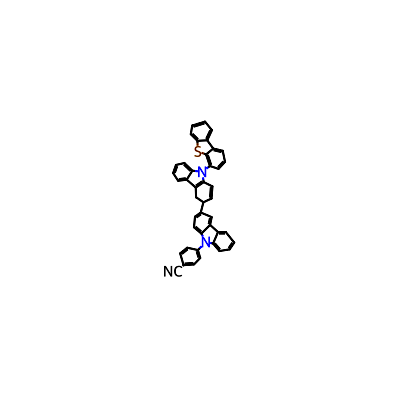 N#Cc1ccc(-n2c3ccccc3c3cc(C4C=Cc5c(c6ccccc6n5-c5cccc6c5sc5ccccc56)C4)ccc32)cc1